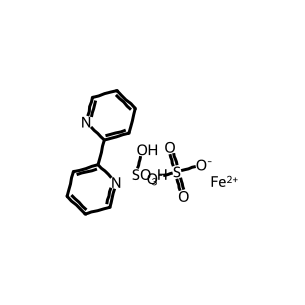 O=S(=O)(O)O.O=S(=O)([O-])[O-].[Fe+2].c1ccc(-c2ccccn2)nc1